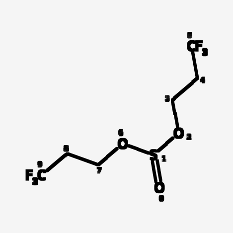 O=S(OCCC(F)(F)F)OCCC(F)(F)F